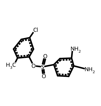 Cc1ccc(Cl)cc1OS(=O)(=O)c1ccc(N)c(N)c1